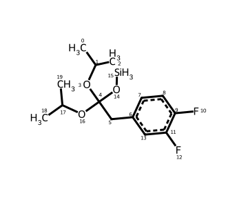 CC(C)OC(Cc1ccc(F)c(F)c1)(O[SiH3])OC(C)C